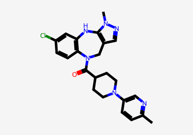 Cc1ccc(N2CCC(C(=O)N3Cc4cnn(C)c4Nc4cc(Cl)ccc43)CC2)cn1